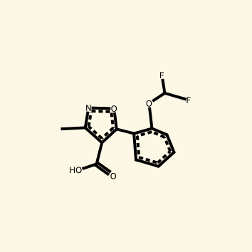 Cc1noc(-c2ccccc2OC(F)F)c1C(=O)O